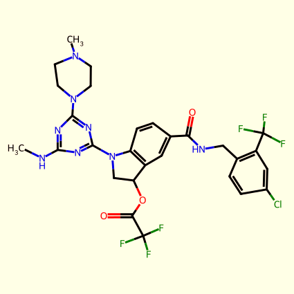 CNc1nc(N2CCN(C)CC2)nc(N2CC(OC(=O)C(F)(F)F)c3cc(C(=O)NCc4ccc(Cl)cc4C(F)(F)F)ccc32)n1